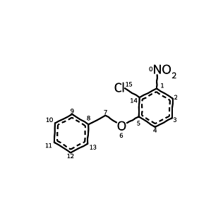 O=[N+]([O-])c1cccc(OCc2ccccc2)c1Cl